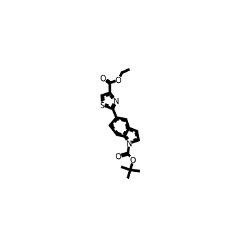 CCOC(=O)c1csc(-c2ccc3c(ccn3C(=O)OC(C)(C)C)c2)n1